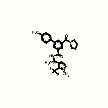 Cc1ccc(-c2cc(C(=O)N[C@H](C)c3cnn(C)c3C(F)(F)F)cc(C(=O)N3CCCC3)c2)cc1